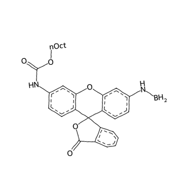 BNc1ccc2c(c1)Oc1cc(NC(=O)OCCCCCCCC)ccc1C21OC(=O)c2ccccc21